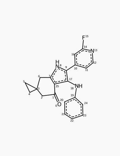 O=C1CC2(CC2)Cc2[nH]c(-c3ccnc(F)c3)c(Nc3ccccc3)c21